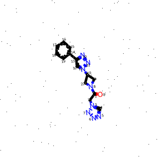 O=C(Cn1cnnn1)N1CC(n2cc(-c3ccccc3)nn2)C1